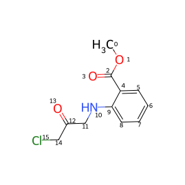 COC(=O)c1ccccc1NCC(=O)CCl